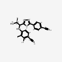 Cc1c(NC(c2nnc(-c3ccc(C#N)cc3)o2)[C@H](C)O)ccc(C#N)c1I